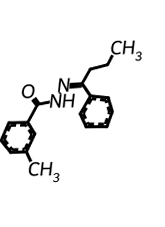 CCCC(=NNC(=O)c1cccc(C)c1)c1ccccc1